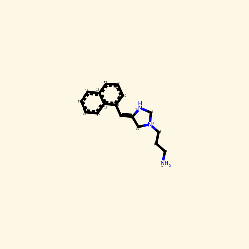 NCCCN1CNC(=Cc2cccc3ccccc23)C1